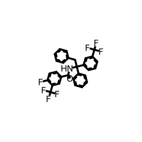 O=C(NC(Cc1ccccc1)(c1ccccc1)c1cccc(C(F)(F)F)c1)c1ccc(F)c(C(F)(F)F)c1